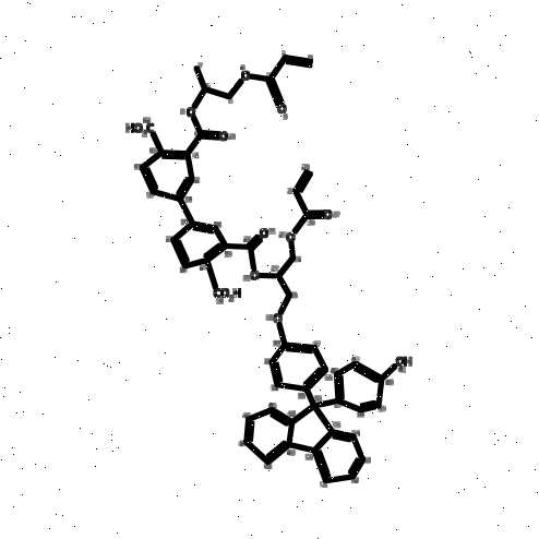 C=CC(=O)OCC(C)OC(=O)c1cc(-c2ccc(C(=O)O)c(C(=O)OC(COC(=O)C=C)COc3ccc(C4(c5ccc(O)cc5)c5ccccc5-c5ccccc54)cc3)c2)ccc1C(=O)O